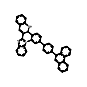 C1=C2c3nc4ccccc4n3-c3cc(-c4ccc(-c5cc6ccccc6c6ccccc56)cc4)ccc3C2Nc2ccccc21